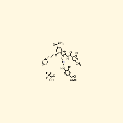 CCn1nc(C)cc1C(=O)Nc1nc2cc(C(N)=O)cc(OCCCN3CCOCC3)c2n1C/C=C/CNc1ncc(C(=O)OC)cc1Br.O=C(O)C(F)(F)F